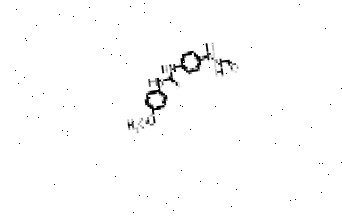 COc1ccc(NC(=S)Nc2ccc(NNC=O)cc2)cc1